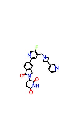 O=C1CCC(N2Cc3cc(-c4cc(CN5CC(c6cccnc6)C5)c(F)cn4)ccc3C2=O)C(=O)N1